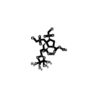 COC(=O)[C@H]1N(C(=O)OC(C)(C)C)C[C@@H](S(=O)(=O)CCl)[C@]1(CCCB1OC(C)(C)C(C)(C)O1)CS(=O)(=O)CCl